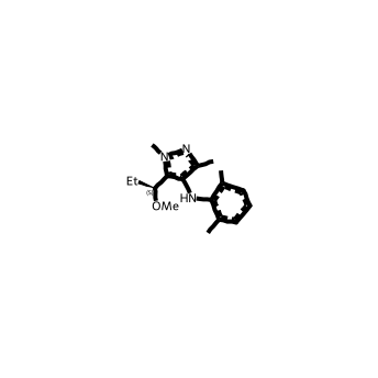 CC[C@H](OC)c1c(Nc2c(C)cccc2C)c(C)nn1C